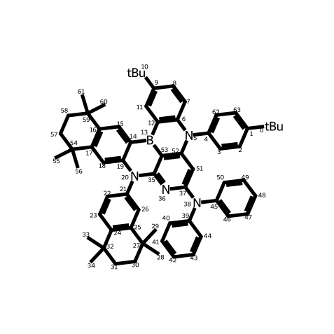 CC(C)(C)c1ccc(N2c3ccc(C(C)(C)C)cc3B3c4cc5c(cc4N(c4ccc6c(c4)C(C)(C)CCC6(C)C)c4nc(N(c6ccccc6)c6ccccc6)cc2c43)C(C)(C)CCC5(C)C)cc1